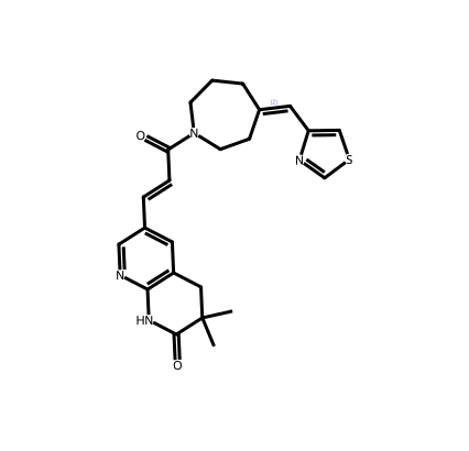 CC1(C)Cc2cc(C=CC(=O)N3CCC/C(=C/c4cscn4)CC3)cnc2NC1=O